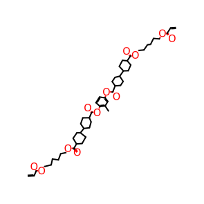 C=CC(=O)OCCCCCCOC(=O)C1CCC(C2CCC(C(=O)Oc3ccc(OC(=O)C4CCC(C5CCC(C(=O)OCCCCCCOC(=O)C=C)CC5)CC4)c(C)c3)CC2)CC1